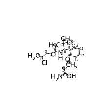 C=C(Cl)COC(=S)NC(c1ccccc1OC)C(C)(C)C.NC(O)=S